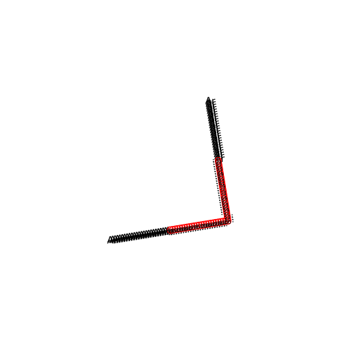 [Ar].[Ar].[Ar].[Ar].[Ar].[Ar].[Ar].[Ar].[Ar].[Ar].[Ar].[Ar].[Ar].[Ar].[Ar].[Ar].[Ar].[Ar].[Ar].[Ar].[Ar].[Ar].[Ar].[Ar].[Ar].[Ar].[Ar].[Ar].[Ar].[Ar].[Ar].[Ar].[Ar].[Ar].[Ar].[Ar].[Ar].[Ar].[Ar].[Ar].[Ar].[Ar].[Ar].[Ar].[Ar].[Ar].[Ar].[Ar].[Ar].[Ar].[O].[O].[O].[O].[O].[O].[O].[O].[O].[O].[O].[O].[O].[O].[O].[O].[O].[O].[O].[O].[O].[O].[O].[O].[O].[O].[O].[O].[O].[O].[O].[O].[O].[O].[O].[O].[O].[O].[O].[O].[O].[O].[O].[O].[O].[O].[O].[O].[O].[O]